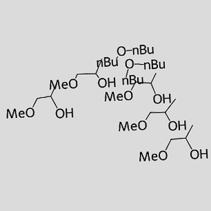 CCCCOCCCC.CCCCOCCCC.COCC(C)O.COCC(C)O.COCC(C)O.COCC(C)O.COCC(C)O